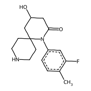 Cc1ccc(N2C(=O)CC(O)CC23CCNCC3)cc1F